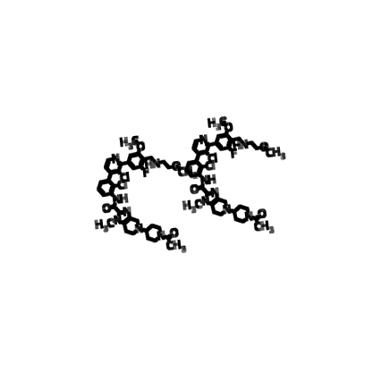 COCCNCc1c(F)cc(-c2nccc(-c3cccc(NC(=O)c4nc5c(n4C)CCN(C4CCN(C(C)=O)CC4)C5)c3Cl)c2Cl)cc1OC.COCCNCc1c(F)cc(-c2nccc(-c3cccc(NC(=O)c4nc5c(n4C)CCN(C4CCN(C(C)=O)CC4)C5)c3Cl)c2Cl)cc1OC